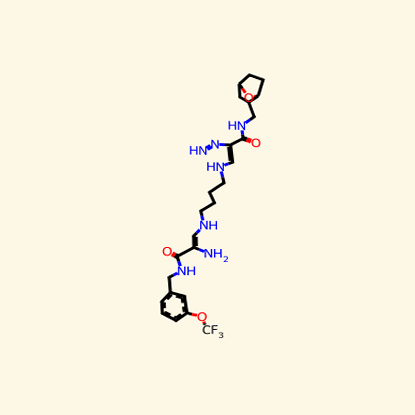 N=N/C(=C\NCCCCN/C=C(\N)C(=O)NCc1cccc(OC(F)(F)F)c1)C(=O)NCC1CC2CCC1O2